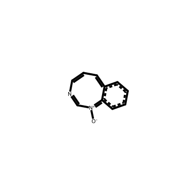 [O-][N+]1=c2ccccc2=CC=CN=C1